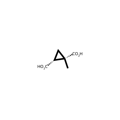 C[C@]1(C(=O)O)C[C@H]1C(=O)O